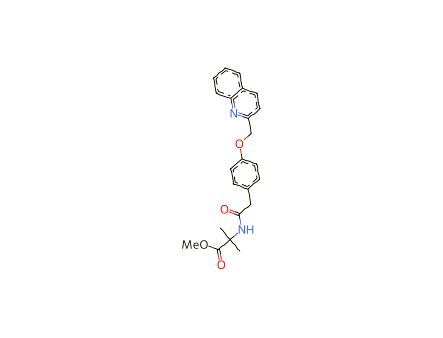 COC(=O)C(C)(C)NC(=O)Cc1ccc(OCc2ccc3ccccc3n2)cc1